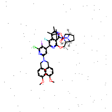 COc1ccc(CN(Cc2ccc(OC)cc2)c2cc(-c3nc4c5c(nc(C)c(C)c5c3F)N3C[C@H]5CC[C@@H]([C@H]3[C@H](C)O4)N5C(=O)OC(C)(C)C)c(I)c(Cl)n2)cc1